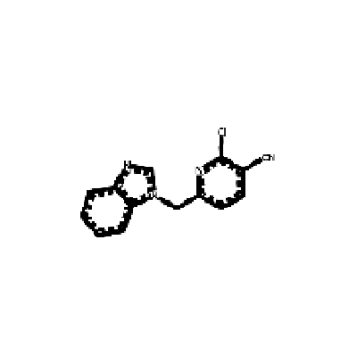 N#Cc1ccc(Cn2cnc3ccccc32)nc1Cl